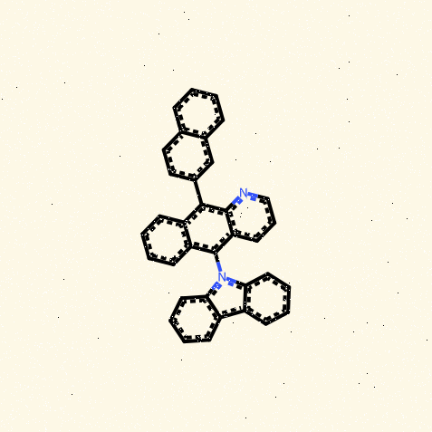 c1ccc2cc(-c3c4ccccc4c(-n4c5ccccc5c5ccccc54)c4cccnc34)ccc2c1